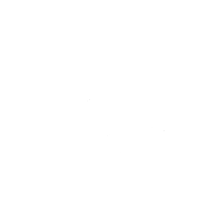 Cc1sc(C)c2c1C(=O)c1cocc1C2=O